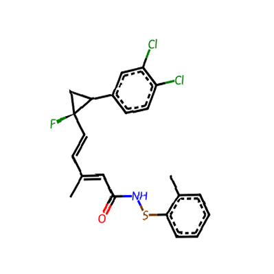 CC(C=C[C@]1(F)CC1c1ccc(Cl)c(Cl)c1)=CC(=O)NSc1ccccc1C